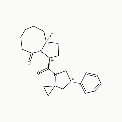 O=C1CCCCC[C@H]2CC[C@@H](C(=O)N3C[C@H](c4ccccc4)CC34CC4)N12